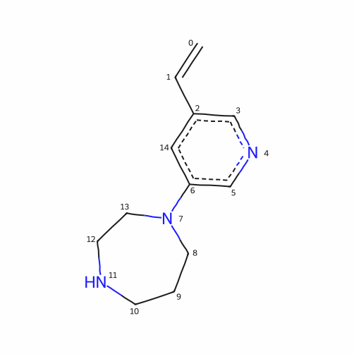 C=Cc1cncc(N2CCCNCC2)c1